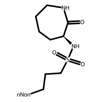 CCCCCCCCCCCCS(=O)(=O)N[C@H]1CCCCNC1=O